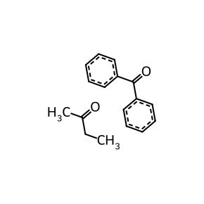 CCC(C)=O.O=C(c1ccccc1)c1ccccc1